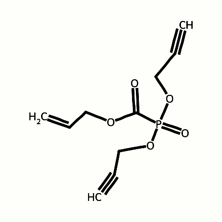 C#CCOP(=O)(OCC#C)C(=O)OCC=C